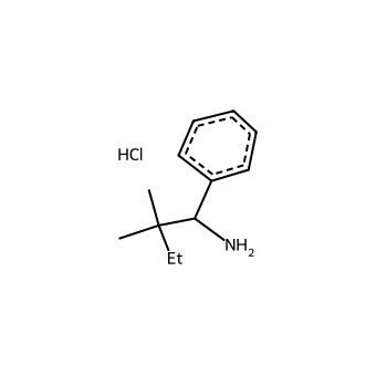 CCC(C)(C)C(N)c1ccccc1.Cl